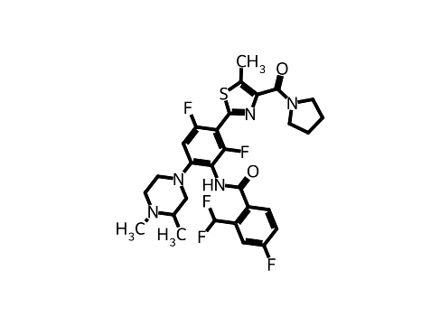 Cc1sc(-c2c(F)cc(N3CCN(C)C(C)C3)c(NC(=O)c3ccc(F)cc3C(F)F)c2F)nc1C(=O)N1CCCC1